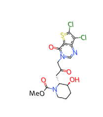 COC(=O)N1CCC[C@H](O)[C@H]1CC(=O)Cn1cnc2c(Cl)c(Cl)sc2c1=O